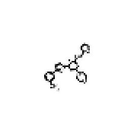 Cc1cccc(-c2ccn(-c3cc(N4CCOCC4)nc(OCC4CCCO4)n3)n2)c1